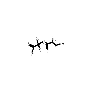 CC(C)(NC(=O)[C@@H](N)CO)C(=O)O